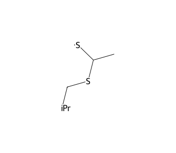 CC(C)CSC(C)[S]